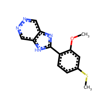 COc1cc(SC)ccc1-c1nc2cnncc2[nH]1